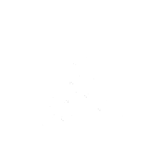 CCCCOC(=O)Nc1nc(N2CC=CCC2)cc(NC(=O)OC)[n+]1[O-]